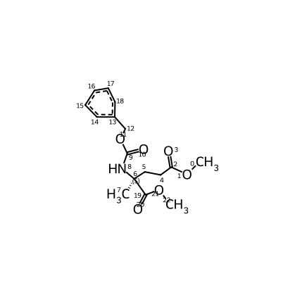 COC(=O)CC[C@](C)(NC(=O)OCc1ccccc1)C(=O)OC